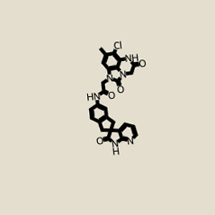 Cc1cc2c3c(c1Cl)NC(=O)Cn3c(=O)n2CC(=O)Nc1ccc2c(c1)CC1(C2)C(=O)Nc2ncccc21